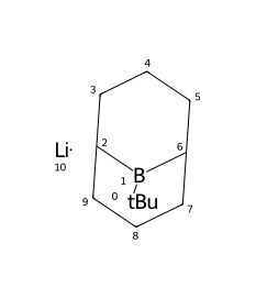 CC(C)(C)B1C2CCCC1CCC2.[Li]